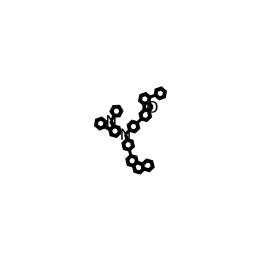 c1ccc(-c2cccc3c2oc2ccc(-c4ccc(N(c5ccc(-c6ccc7ccc8ccccc8c7c6)cc5)c5ccc6c7ccccc7n(-c7ccccc7)c6c5)cc4)cc23)cc1